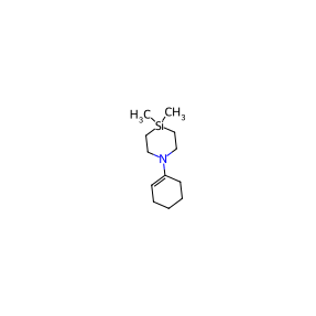 C[Si]1(C)CCN(C2=CCCCC2)CC1